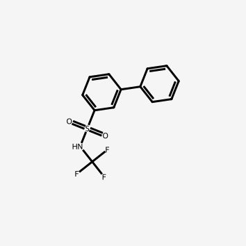 O=S(=O)(NC(F)(F)F)c1cccc(-c2ccccc2)c1